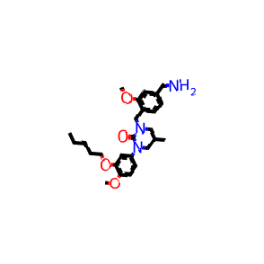 CCCCCOc1cc(N2CC(C)CN(Cc3ccc(CN)cc3OC)C2=O)ccc1OC